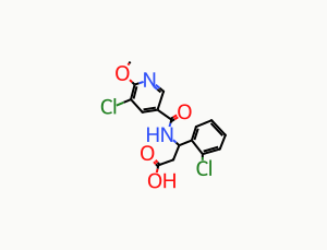 COc1ncc(C(=O)NC(CC(=O)O)c2ccccc2Cl)cc1Cl